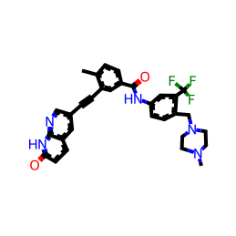 Cc1ccc(C(=O)Nc2ccc(CN3CCN(C)CC3)c(C(F)(F)F)c2)cc1C#Cc1cnc2[nH]c(=O)ccc2c1